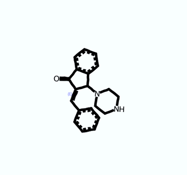 O=C1/C(=C/c2ccccc2)C(N2CCNCC2)c2ccccc21